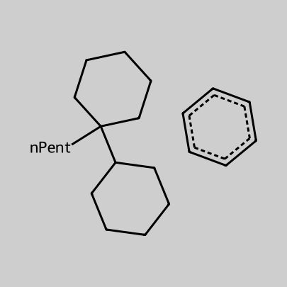 CCCCCC1(C2CCCCC2)CCCCC1.c1ccccc1